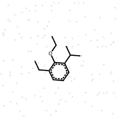 [CH2]C(C)c1cccc(CC)c1OCC